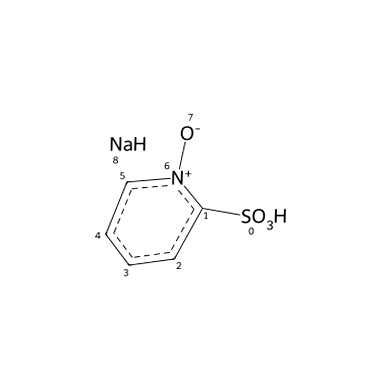 O=S(=O)(O)c1cccc[n+]1[O-].[NaH]